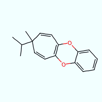 CC(C)C1(C)C=CC2=C(C=C1)Oc1ccccc1O2